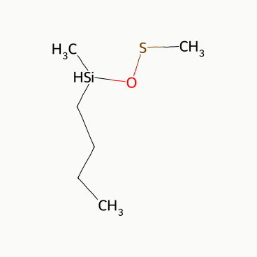 CCCC[SiH](C)OSC